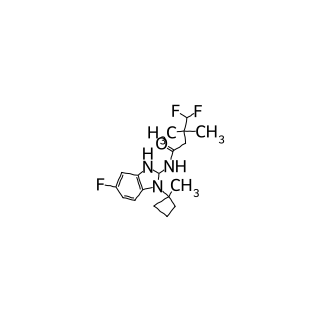 CC(C)(CC(=O)NC1Nc2cc(F)ccc2N1C1(C)CCC1)C(F)F